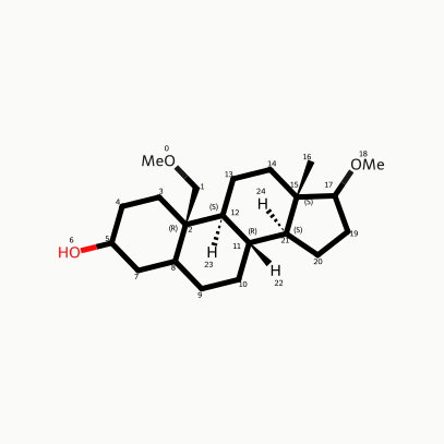 COC[C@]12CCC(O)CC1CC[C@@H]1[C@@H]2CC[C@]2(C)C(OC)CC[C@@H]12